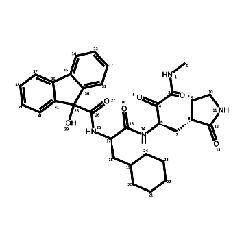 CNC(=O)C(=O)[C@@H](C[C@@H]1CCNC1=O)NC(=O)[C@@H](CC1CCCCC1)NC(=O)C1(O)c2ccccc2-c2ccccc21